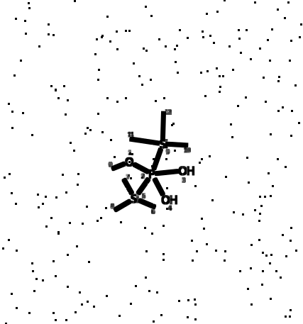 COP(O)(O)([Si](C)(C)C)[Si](C)(C)C